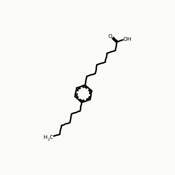 CCCCCCc1ccc(CCCCCCC(=O)O)cc1